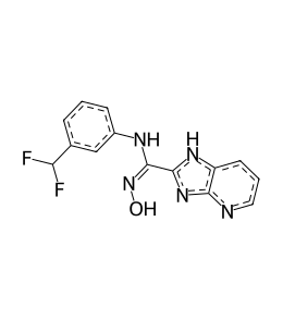 O/N=C(/Nc1cccc(C(F)F)c1)c1nc2ncccc2[nH]1